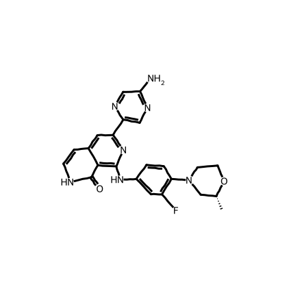 C[C@@H]1CN(c2ccc(Nc3nc(-c4cnc(N)cn4)cc4cc[nH]c(=O)c34)cc2F)CCO1